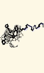 CC/C=C\C/C=C\C/C=C\C/C=C\C/C=C\C/C=C\CCC(=O)O[C@H]1C[C@H]2OC[C@@]2(OC(C)=O)[C@H]2[C@H](OC(=O)c3ccccc3)[C@]3(O)CC(OC(=O)C(C)[C@H](NC(=O)OC(C)(C)C)c4ccccc4)C(C)=C([C@@H](O)C(=O)[C@]12C)C3(C)C